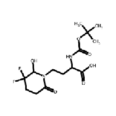 CC(C)(C)OC(=O)NC(CCN1C(=O)CCC(F)(F)C1O)C(=O)O